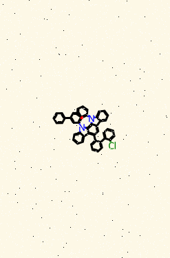 Clc1ccccc1-c1ccccc1-c1cc2c3ccccc3n(-c3ccccc3)c2c2c1c1ccccc1n2-c1cccc(-c2ccccc2)c1